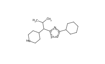 CC(C)C(c1nc(C2CCCCC2)cs1)C1CCNCC1